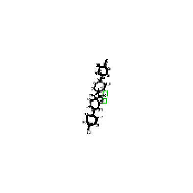 Cc1ccc(C2CCC3(CC2)CC2(CCC(c4ccc(C)cc4)CC2)C3(Cl)Cl)cc1